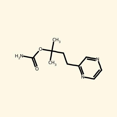 CC(C)(CCc1cnccn1)OC(N)=O